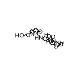 O=C1COc2ccc(N3C(=O)O[C@@H]4C[C@@H](NCCn5c(=O)ccc6ccc(OCCO)nc65)CC[C@@H]43)nc2N1